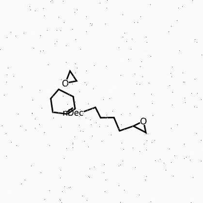 C1=CCCCC1.C1CO1.CCCCCCCCCCCCCCC1CO1